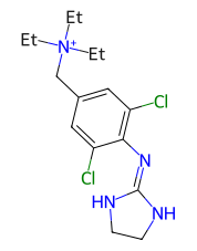 CC[N+](CC)(CC)Cc1cc(Cl)c(N=C2NCCN2)c(Cl)c1